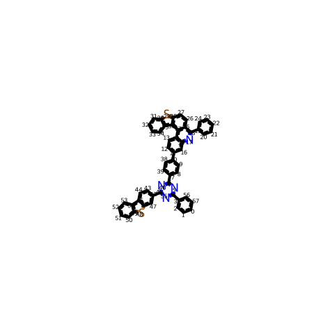 c1ccc(-c2nc(-c3ccc(-c4ccc5c(c4)nc(-c4ccccc4)c4ccc6sc7ccccc7c6c45)cc3)nc(-c3ccc4c(c3)sc3ccccc34)n2)cc1